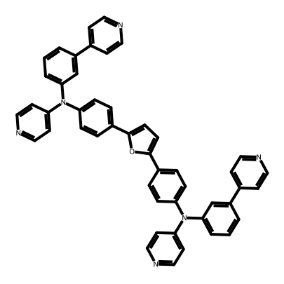 c1cc(-c2ccncc2)cc(N(c2ccncc2)c2ccc(-c3ccc(-c4ccc(N(c5ccncc5)c5cccc(-c6ccncc6)c5)cc4)o3)cc2)c1